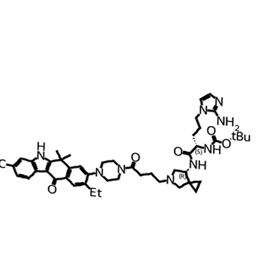 CCc1cc2c(cc1N1CCN(C(=O)CCCN3C[C@H](NC(=O)[C@H](CCCn4ccnc4N)NC(=O)OC(C)(C)C)C4(CC4)C3)CC1)C(C)(C)c1[nH]c3cc(C#N)ccc3c1C2=O